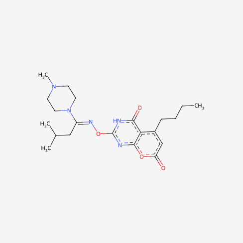 CCCCc1cc(=O)oc2nc(O/N=C(\CC(C)C)N3CCN(C)CC3)[nH]c(=O)c12